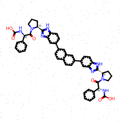 O=C(O)N[C@@H](C(=O)N1CCC[C@H]1c1nc2cc(-c3ccc4ccc(-c5ccc6[nH]c([C@@H]7CCCN7C(=O)[C@H](NC(=O)O)c7ccccc7)nc6c5)cc4c3)ccc2[nH]1)c1ccccc1